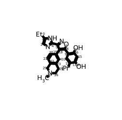 CCc1cnc(-c2noc(-c3cc(C(C)C)c(O)cc3O)c2-c2c#cc3c(c2)CCN(C)C3)[nH]1